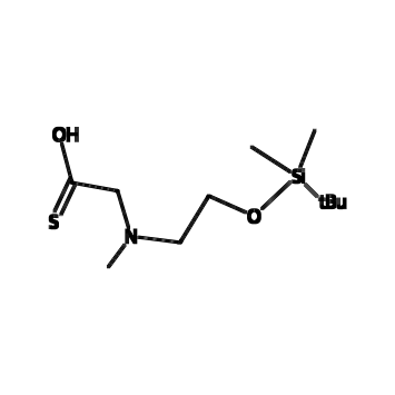 CN(CCO[Si](C)(C)C(C)(C)C)CC(O)=S